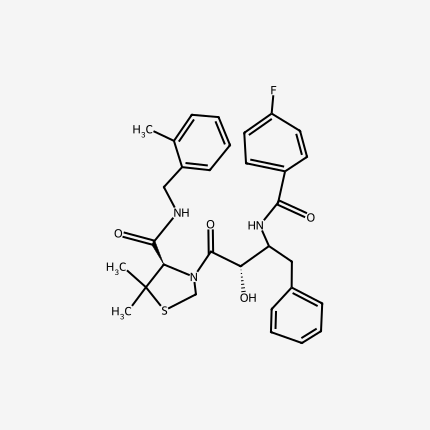 Cc1ccccc1CNC(=O)[C@H]1N(C(=O)[C@@H](O)C(Cc2ccccc2)NC(=O)c2ccc(F)cc2)CSC1(C)C